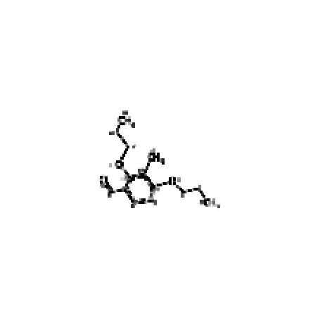 CCCOc1ccc(C=O)c(OCCC)c1C